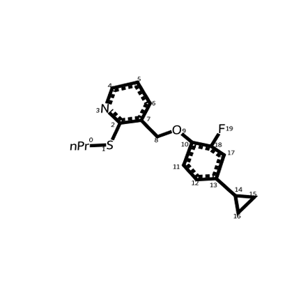 CCCSc1ncccc1COc1ccc(C2CC2)cc1F